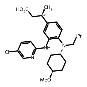 CO[C@H]1CC[C@H](N(CC(C)C)c2ccc([C@H](C)CC(=O)O)cc2Nc2ccc(Cl)cn2)CC1